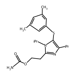 Cc1cc(C)cc(Sc2c(C(C)C)nc(CCOC(N)=O)n2C(C)C)c1